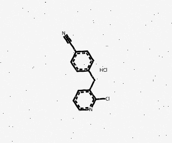 Cl.N#Cc1ccc(Cc2cccnc2Cl)cc1